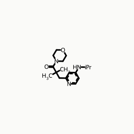 CC(C)Nc1ccnc(CC(C)(C)C(=O)N2CCOCC2)c1